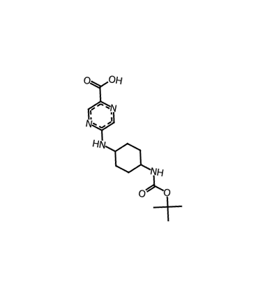 CC(C)(C)OC(=O)NC1CCC(Nc2cnc(C(=O)O)cn2)CC1